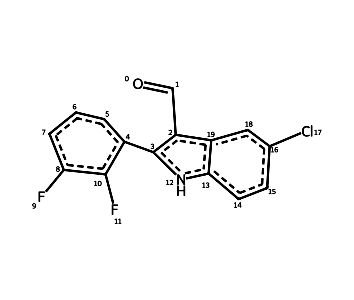 O=Cc1c(-c2cccc(F)c2F)[nH]c2ccc(Cl)cc12